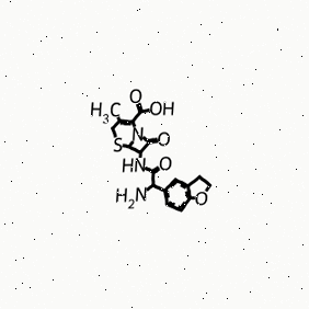 CC1=C(C(=O)O)N2C(=O)C(NC(=O)C(N)c3ccc4c(c3)CCO4)C2SC1